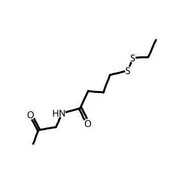 CCSSCCCC(=O)NCC(C)=O